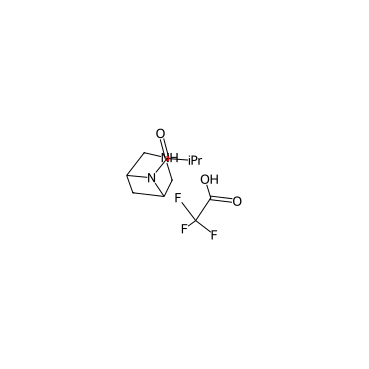 CC(C)C(=O)N1C2CNCC1C2.O=C(O)C(F)(F)F